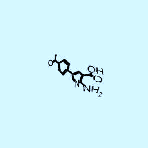 CC(=O)c1ccc(-c2cnc(N)c(C(=O)O)c2)cc1